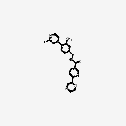 Cc1cc(CNC(=O)c2ccc(-c3cnccn3)nc2)cnc1-c1ccnc(F)c1